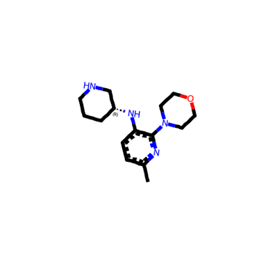 Cc1ccc(N[C@@H]2CCCNC2)c(N2CCOCC2)n1